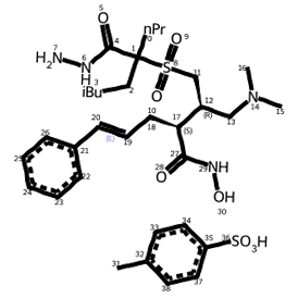 CCCC(CC(C)CC)(C(=O)NN)S(=O)(=O)C[C@@H](CN(C)C)[C@H](C/C=C/c1ccccc1)C(=O)NO.Cc1ccc(S(=O)(=O)O)cc1